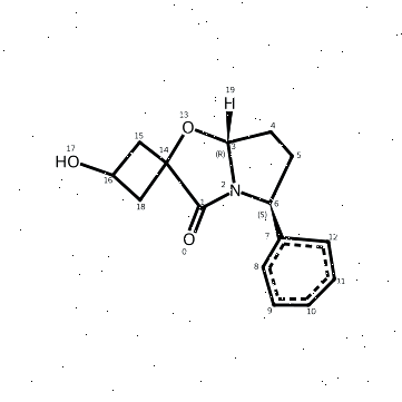 O=C1N2[C@@H](CC[C@H]2c2ccccc2)OC12CC(O)C2